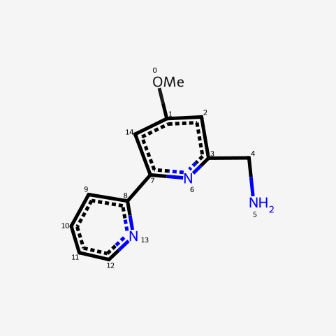 COc1cc(CN)nc(-c2ccccn2)c1